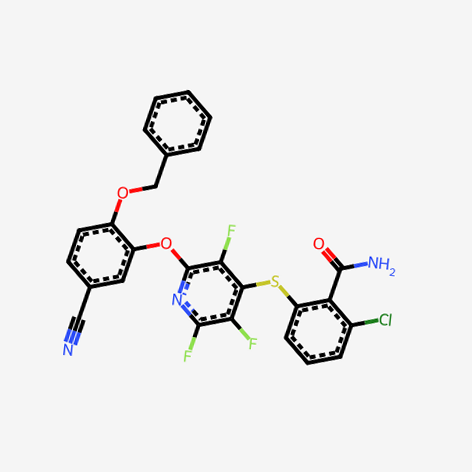 N#Cc1ccc(OCc2ccccc2)c(Oc2nc(F)c(F)c(Sc3cccc(Cl)c3C(N)=O)c2F)c1